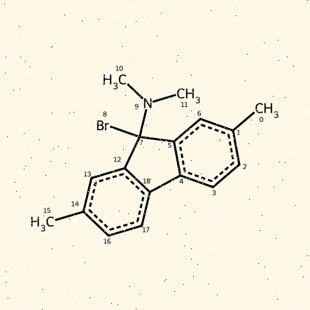 Cc1ccc2c(c1)C(Br)(N(C)C)c1cc(C)ccc1-2